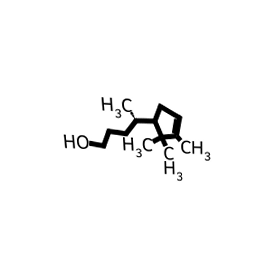 CC1=CCC([C@@H](C)CCCO)C1(C)C